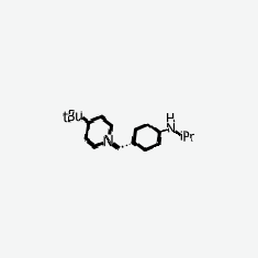 CC(C)N[C@H]1CC[C@H](CN2CCC(C(C)(C)C)CC2)CC1